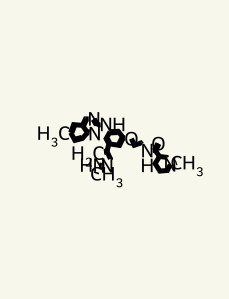 C=C(/C=N\NC)c1cc(Nc2ncc3cc(C)ccc3n2)cc(OCCNC(=O)C2CCCN(C)C2)c1